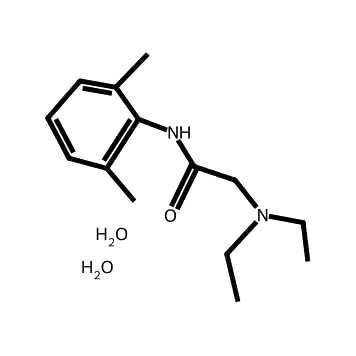 CCN(CC)CC(=O)Nc1c(C)cccc1C.O.O